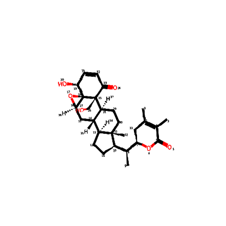 CC1=C(C)C(=O)O[C@@H]([C@@H](C)[C@H]2CC[C@H]3[C@@H]4C[C@H]5O[C@]56[C@@H](O)C=CC(=O)[C@]6(CO)[C@H]4CC[C@]23C)C1